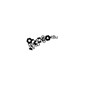 CC(C)(C)c1ccc(S(=O)(=O)N2CCN([C@@H](CC3CCCCC3)C(=O)Nc3nccs3)C(=O)C2)cc1